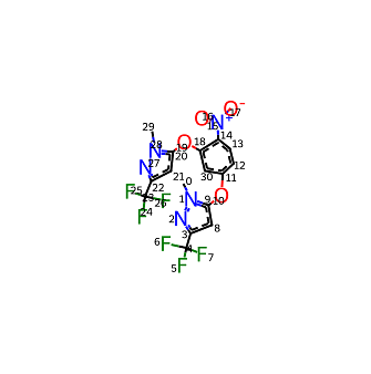 Cn1nc(C(F)(F)F)cc1Oc1ccc([N+](=O)[O-])c(Oc2cc(C(F)(F)F)nn2C)c1